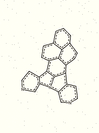 c1cc2ccc3c4c(ccc(c1)c24)c1c2ccncc2n2c4cnccc4c3c12